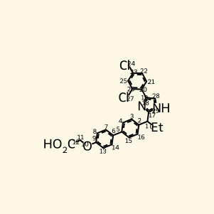 CCC(c1ccc(-c2ccc(OCC(=O)O)cc2)cc1)c1nc(-c2ccc(Cl)cc2Cl)c[nH]1